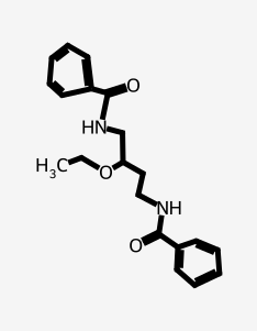 CCOC(CCNC(=O)c1ccccc1)CNC(=O)c1ccccc1